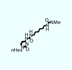 CCCCCCn1ccc(NC(=O)NCCCCCCNC(=O)NC)nc1=O